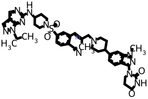 C/C(=C\c1cc(S(=O)(=O)N2CCC(Nc3ncc4cnn(C(C)C)c4n3)CC2)ccc1C#N)CN1CCC(c2ccc3c(N4CCC(=O)NC4=O)nn(C)c3c2)CC1